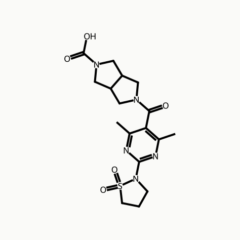 Cc1nc(N2CCCS2(=O)=O)nc(C)c1C(=O)N1CC2CN(C(=O)O)CC2C1